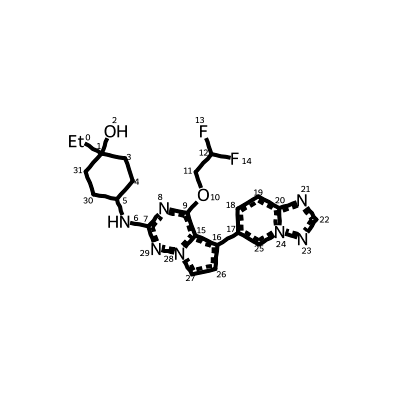 CCC1(O)CCC(Nc2nc(OCC(F)F)c3c(-c4ccc5ncnn5c4)ccn3n2)CC1